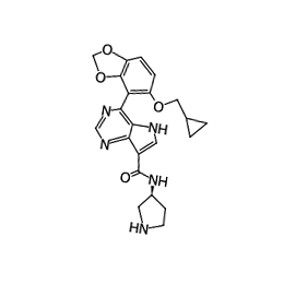 O=C(N[C@H]1CCNC1)c1c[nH]c2c(-c3c(OCC4CC4)ccc4c3OCO4)ncnc12